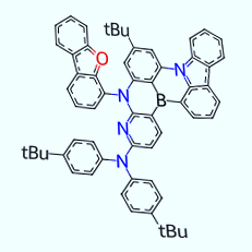 CC(C)(C)c1ccc(N(c2ccc(C(C)(C)C)cc2)c2ccc3c(n2)N(c2cccc4c2oc2ccccc24)c2cc(C(C)(C)C)cc4c2B3c2cccc3c5ccccc5n-4c23)cc1